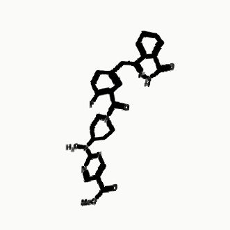 COC(=O)c1cnc(N(C)C2CCN(C(=O)c3cc(Cc4n[nH]c(=O)c5ccccc45)ccc3F)CC2)nc1